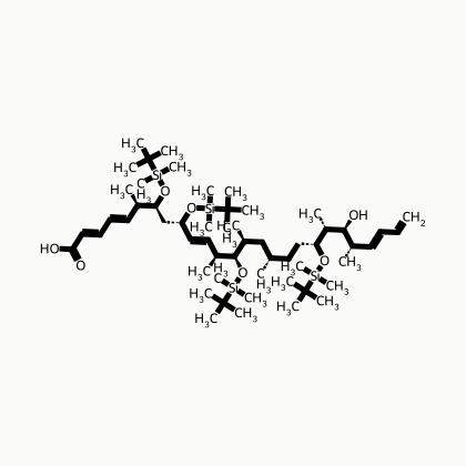 C=CC=C[C@H](C)[C@H](O)[C@@H](C)[C@@H](CC[C@H](C)C[C@H](C)[C@@H](O[Si](C)(C)C(C)(C)C)[C@@H](C)C=C[C@H](C[C@H](O[Si](C)(C)C(C)(C)C)[C@H](C)C=CC=CC(=O)O)O[Si](C)(C)C(C)(C)C)O[Si](C)(C)C(C)(C)C